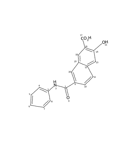 O=C(Nc1ccccc1)c1ccc2cc(O)c(C(=O)O)cc2c1